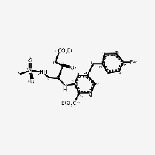 CCOC(=O)CC(=O)C(CNS(C)(=O)=O)Nc1cc(Cc2ccc(F)cc2)cnc1C(=O)OCC